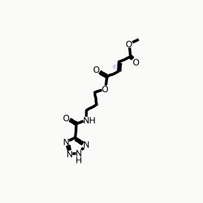 COC(=O)/C=C/C(=O)OCCCNC(=O)c1nn[nH]n1